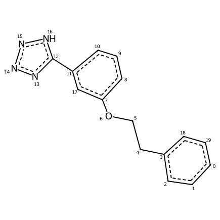 c1ccc(CCOc2cccc(-c3nnn[nH]3)c2)cc1